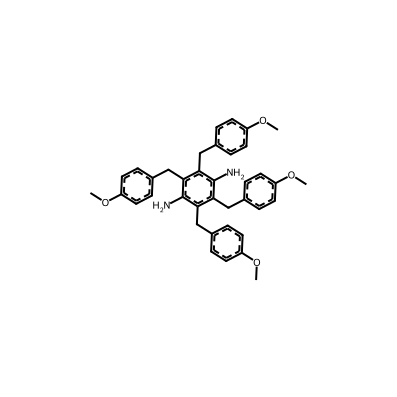 COc1ccc(Cc2c(N)c(Cc3ccc(OC)cc3)c(Cc3ccc(OC)cc3)c(N)c2Cc2ccc(OC)cc2)cc1